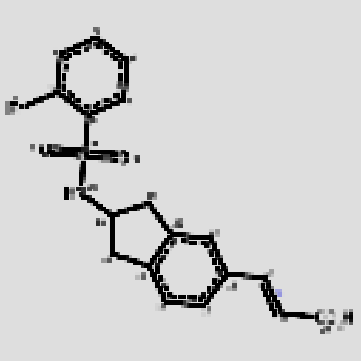 CC(C)c1ccccc1S(=O)(=O)NC1Cc2ccc(/C=C/C(=O)O)cc2C1